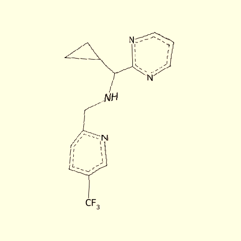 FC(F)(F)c1ccc(CNC(c2ncccn2)C2CC2)nc1